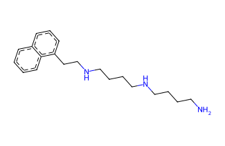 NCCCCNCCCCNCCc1cccc2ccccc12